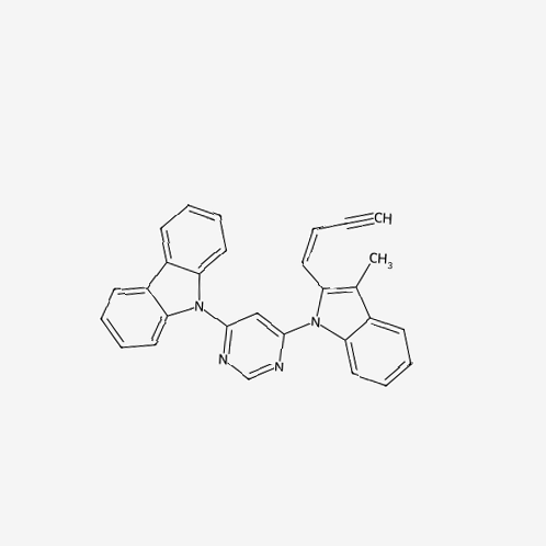 C#C/C=C\c1c(C)c2ccccc2n1-c1cc(-n2c3ccccc3c3ccccc32)ncn1